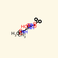 CC(C)(C)OC(=O)NCCCC[C@H](NC(=O)CNC(=O)OCC1c2ccccc2-c2ccccc21)C(=O)O